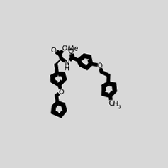 COC(=O)[C@H](Cc1ccc(OCc2ccccc2)cc1)NC(=O)c1ccc(OCCc2ccc(C)cc2)cc1